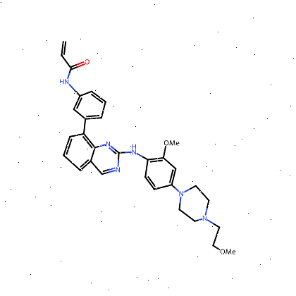 C=CC(=O)Nc1cccc(-c2cccc3cnc(Nc4ccc(N5CCN(CCOC)CC5)cc4OC)nc23)c1